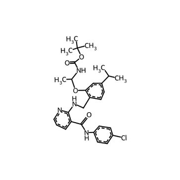 CC(NC(=O)OC(C)(C)C)Oc1cc(C(C)C)ccc1CNc1ncccc1C(=O)Nc1ccc(Cl)cc1